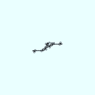 C=CC(=O)OCCCCCCOc1ccc(C(=O)Oc2ccc(OC(=O)c3ccc(OCCCCCCOC(=O)C=C)cc3)c(C(=O)OCCCCC)c2)cc1